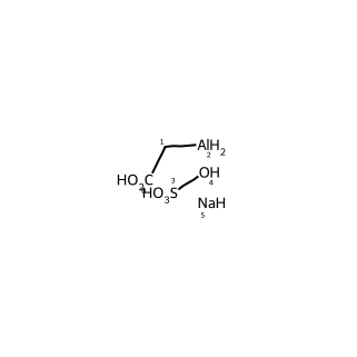 O=C(O)[CH2][AlH2].O=S(=O)(O)O.[NaH]